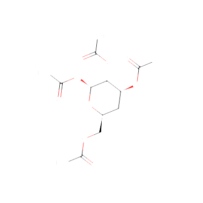 CC(=O)OC[C@H]1O[C@@H](OC(C)=O)[C@H](OC(C)=O)[C@@H](OC(C)=O)[C@@H]1O